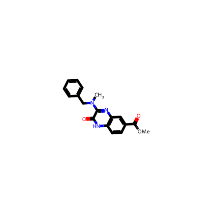 COC(=O)c1ccc2[nH]c(=O)c(N(C)Cc3ccccc3)nc2c1